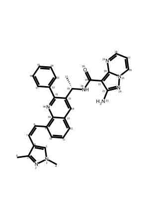 Cc1nn(C)cc1/C=C\c1cccc2cc([C@H](C)NC(=O)c3c(N)nn4cccnc34)c(-c3ccccc3)nc12